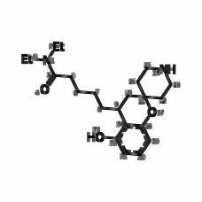 CCN(CC)C(=O)CCCCC1CC2(CCNCC2)Oc2cccc(O)c21